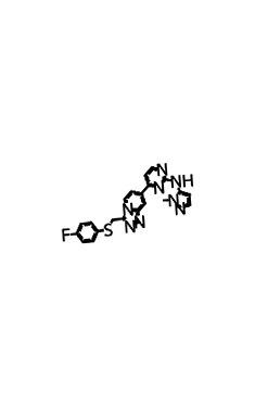 Cn1nccc1Nc1nccc(-c2ccn3c(CSc4ccc(F)cc4)nnc3c2)n1